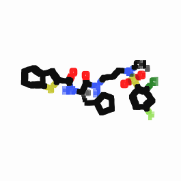 CN(CCCNC(=O)[C@H](CC1CCCC1)NC(=O)c1cc2ccccc2s1)S(=O)(=O)c1ccc(F)cc1Cl